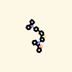 c1ccc2c(c1)oc1c2c2ccccc2n1-c1ccc2sc3ccc(-c4ccc(-n5c6ccccc6c6ccccc65)cc4)cc3c2c1